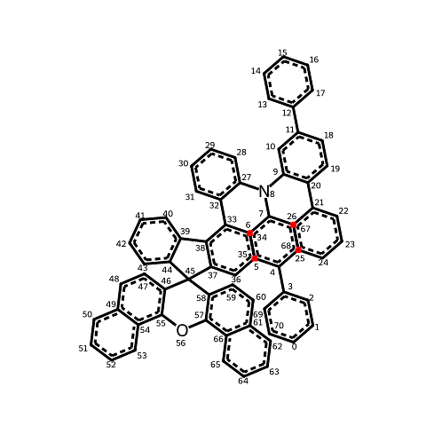 c1ccc(-c2ccc(N(c3cc(-c4ccccc4)ccc3-c3ccccc3)c3ccccc3-c3cccc4c3-c3ccccc3C43c4ccc5ccccc5c4Oc4c3ccc3ccccc43)cc2)cc1